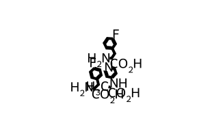 C[C@H](Nc1ccncc1)C(=O)O.N[C@@H](Cc1ccc(F)cc1)C(=O)O.N[C@@H](Cc1cccc(F)c1)C(=O)O